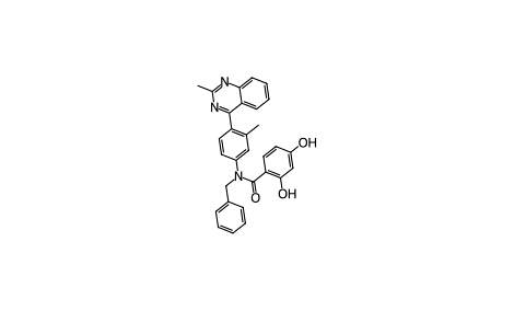 Cc1nc(-c2ccc(N(Cc3ccccc3)C(=O)c3ccc(O)cc3O)cc2C)c2ccccc2n1